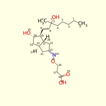 CCCCCC(C)(O)C=C[C@H]1[C@@H]2CC(=NOCCC(=O)O)C[C@H]2C[C@@H]1O